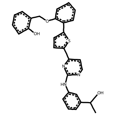 CC(O)c1cccc(Nc2nccc(-c3ccc(-c4ccccc4OCc4ccccc4O)s3)n2)c1